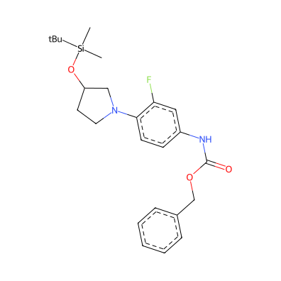 CC(C)(C)[Si](C)(C)OC1CCN(c2ccc(NC(=O)OCc3ccccc3)cc2F)C1